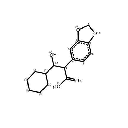 O=C(O)C(c1ccc2c(c1)OCO2)C(O)C1CCCCC1